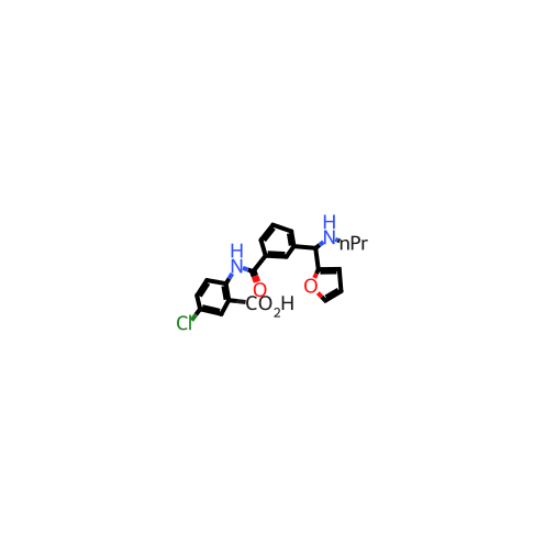 CCCNC(c1cccc(C(=O)Nc2ccc(Cl)cc2C(=O)O)c1)c1ccco1